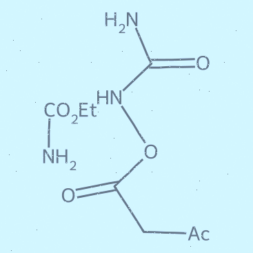 CC(=O)CC(=O)ONC(N)=O.CCOC(N)=O